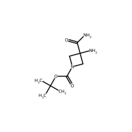 CC(C)(C)OC(=O)N1CC(N)(C(N)=O)C1